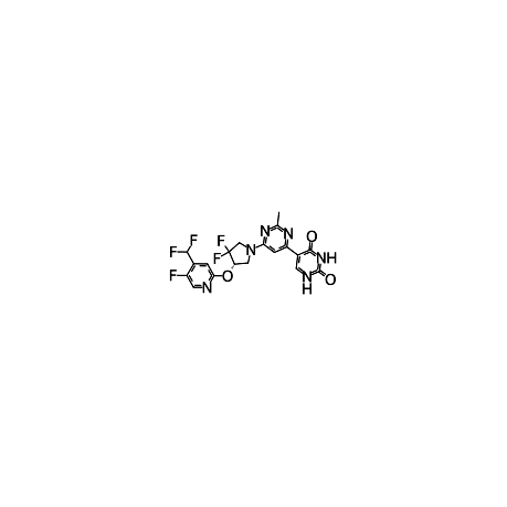 Cc1nc(-c2c[nH]c(=O)[nH]c2=O)cc(N2C[C@H](Oc3cc(C(F)F)c(F)cn3)C(F)(F)C2)n1